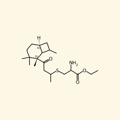 CCOC(=O)C(N)CSC(C)CC(=O)[C@@]1(C)C2C(C)C[C@@H]2CCC1(C)C